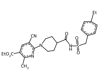 CCOC(=O)c1cc(C#N)c(N2CCC(C(=O)NS(=O)(=O)Cc3ccc(CC)cc3)CC2)nc1C